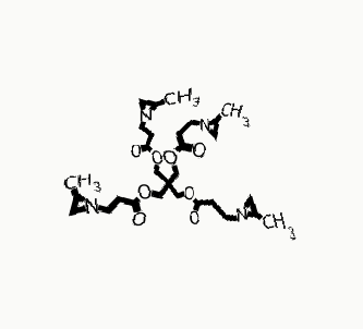 CC1CN1CCC(=O)OCC(COC(=O)CCN1CC1C)(COC(=O)CCN1CC1C)COC(=O)CCN1CC1C